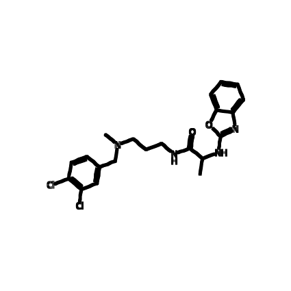 CC(Nc1nc2ccccc2o1)C(=O)NCCCN(C)Cc1ccc(Cl)c(Cl)c1